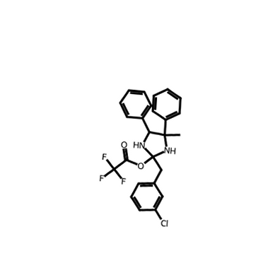 CC1(c2ccccc2)NC(Cc2cccc(Cl)c2)(OC(=O)C(F)(F)F)NC1c1ccccc1